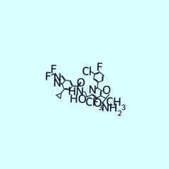 C[C@]1(C(N)=O)COc2c1cc(C(O)(CNC(=O)c1cc(C3CC3)c3nn(C(F)F)cc3c1)C(F)(F)F)nc2-c1ccc(F)c(Cl)c1